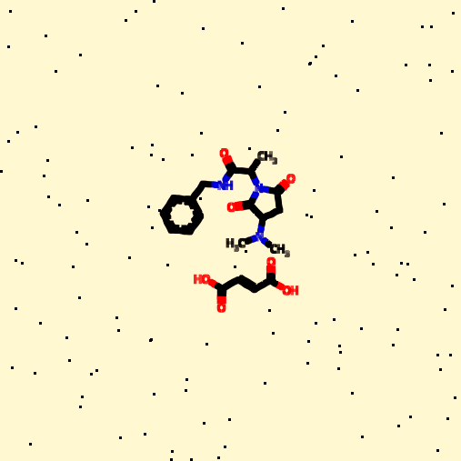 CC(C(=O)NCc1ccccc1)N1C(=O)CC(N(C)C)C1=O.O=C(O)/C=C/C(=O)O